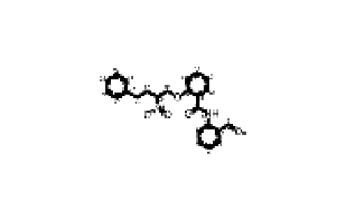 O=Cc1ccccc1NC(=O)c1ccccc1OCC(CCc1ccccc1)[N+](=O)[O-]